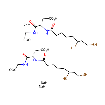 O=C([O-])CNC(=O)[C@H](CC(=O)O)NC(=O)CCCCC(S)CCS.O=C([O-])CNC(=O)[C@H](CC(=O)O)NC(=O)CCCCC(S)CCS.[NaH].[NaH].[Zn+2]